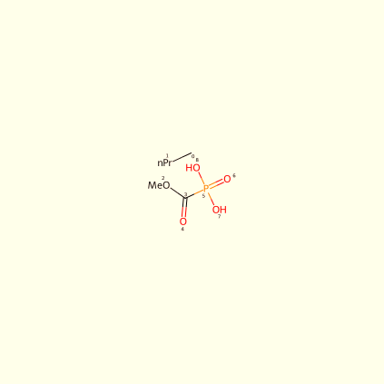 CCCC.COC(=O)P(=O)(O)O